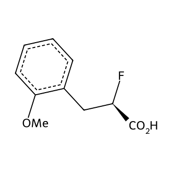 COc1ccccc1C[C@@H](F)C(=O)O